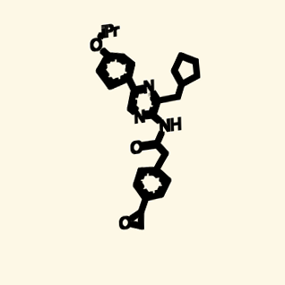 CC(C)Oc1ccc(-c2cnc(NC(=O)Cc3ccc(C4CO4)cc3)c(CC3CCCC3)n2)cc1